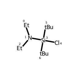 CCN(CC)[Si](Cl)(C(C)(C)C)C(C)(C)C